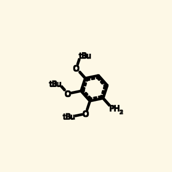 CC(C)(C)Oc1ccc(P)c(OC(C)(C)C)c1OC(C)(C)C